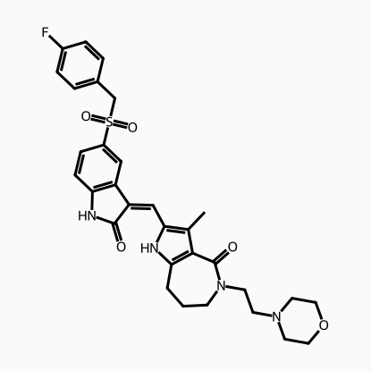 Cc1c(C=C2C(=O)Nc3ccc(S(=O)(=O)Cc4ccc(F)cc4)cc32)[nH]c2c1C(=O)N(CCN1CCOCC1)CCC2